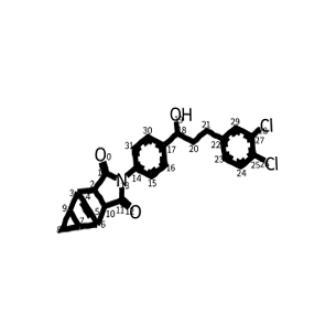 O=C1C2C3C=CC(C4CC34)C2C(=O)N1c1ccc(C(O)CCc2ccc(Cl)c(Cl)c2)cc1